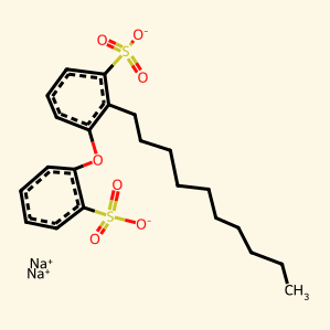 CCCCCCCCCCc1c(Oc2ccccc2S(=O)(=O)[O-])cccc1S(=O)(=O)[O-].[Na+].[Na+]